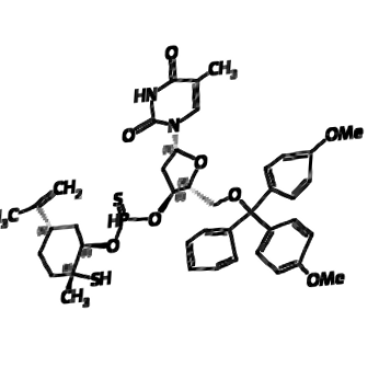 C=C(C)[C@H]1CC[C@@](C)(S)[C@H](O[PH](=S)O[C@H]2C[C@H](n3cc(C)c(=O)[nH]c3=O)O[C@@H]2COC(c2ccccc2)(c2ccc(OC)cc2)c2ccc(OC)cc2)C1